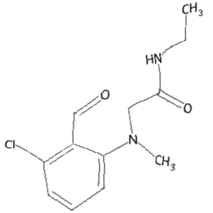 CCNC(=O)CN(C)c1cccc(Cl)c1C=O